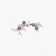 COc1cc(C)c(S(=O)(=O)N(CCOCC(=O)NCCC2CCC(C(c3ccc(Cl)cc3)N(C)C)CC2)Cc2ccccc2)c(C)c1C